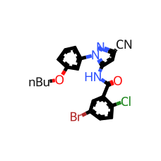 CCCCOc1cccc(-n2nc(C#N)cc2NC(=O)c2cc(Br)ccc2Cl)c1